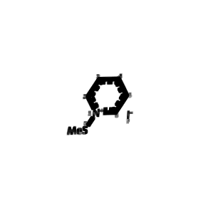 CS[n+]1ccccc1.[I-]